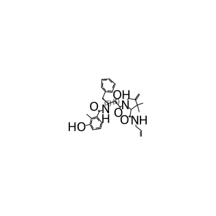 C=CCNC(=O)C1N(C(=O)[C@@H](O)[C@H](Cc2ccccc2)NC(=O)c2cccc(O)c2C)CC(=C)C1(C)C